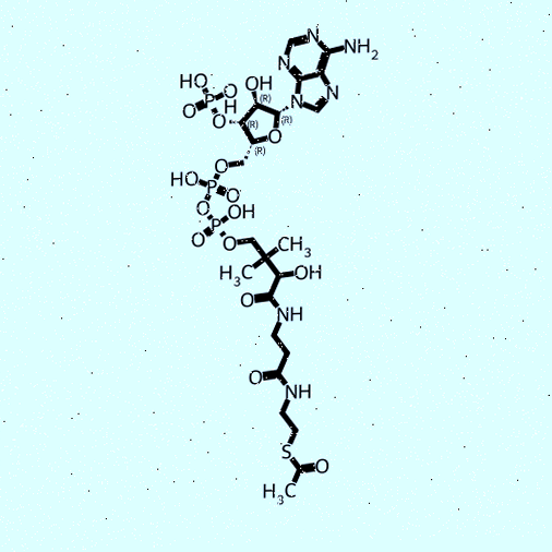 CC(=O)SCCNC(=O)CCNC(=O)C(O)C(C)(C)COP(=O)(O)OP(=O)(O)OC[C@H]1O[C@@H](n2cnc3c(N)ncnc32)[C@H](O)[C@H]1OP(=O)(O)O